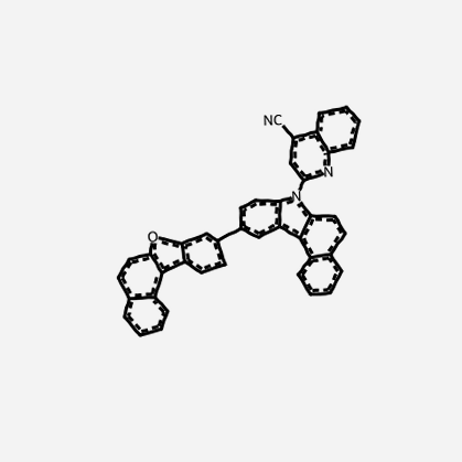 N#Cc1cc(-n2c3ccc(-c4ccc5c(c4)oc4ccc6ccccc6c45)cc3c3c4ccccc4ccc32)nc2ccccc12